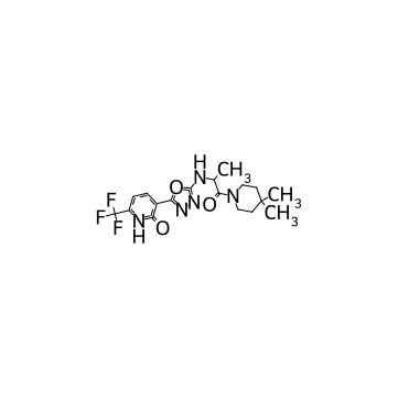 CC(Nc1nnc(-c2ccc(C(F)(F)F)[nH]c2=O)o1)C(=O)N1CCC(C)(C)CC1